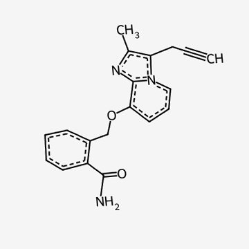 C#CCc1c(C)nc2c(OCc3ccccc3C(N)=O)cccn12